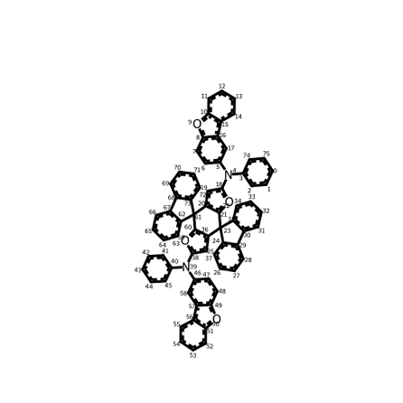 c1ccc(N(c2ccc3oc4ccccc4c3c2)c2cc3c(o2)C2(c4ccccc4-c4ccccc42)c2cc(N(c4ccccc4)c4ccc5oc6ccccc6c5c4)oc2C32c3ccccc3-c3ccccc32)cc1